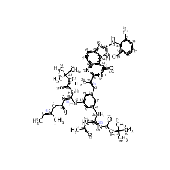 C/C=C(\C)OC(=O)/N=C(/NC(=O)OC(C)(C)C)Nc1cc(/C=C(\C)c2nc3ccc4nc(Nc5c(Cl)cccc5Cl)[nH]c4c3c(=O)[nH]2)cc(N/C(=N\C(=O)OC(C)(C)C)NC(C)=O)c1